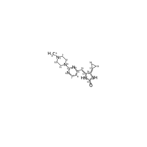 CN1CCN(c2nccc(/C=c3\[nH]c(=O)[nH]c3=C3CC3)n2)CC1